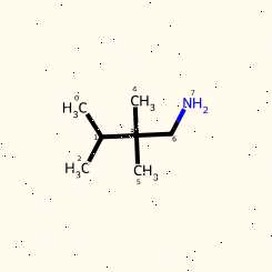 C[C](C)C(C)(C)CN